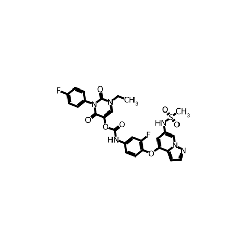 CCn1cc(OC(=O)Nc2ccc(Oc3cc(NS(C)(=O)=O)cn4nccc34)c(F)c2)c(=O)n(-c2ccc(F)cc2)c1=O